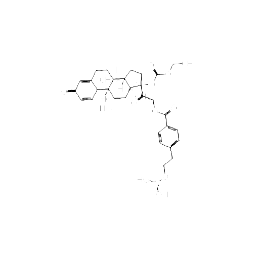 CCOC(=O)O[C@]1(C(=O)COC(=O)c2ccc(CCON(O)O)cc2)CC[C@H]2[C@@H]3CCC4=CC(=O)C=C[C@]4(C)[C@H]3[C@@H](O)C[C@@]21C